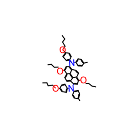 CCCCOc1ccc(N(c2ccc(C)cc2)c2cc(OCCCC)c3ccc4c(N(c5ccc(C)cc5)c5ccc(OCCCC)cc5)cc(OCCCC)c5ccc2c3c54)cc1